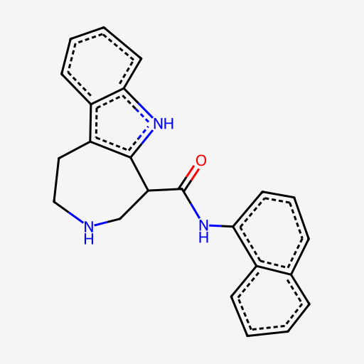 O=C(Nc1cccc2ccccc12)C1CNCCc2c1[nH]c1ccccc21